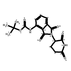 CC(C)(C)OC(=O)Nc1cccc2c1C(=O)N(C1CCC(=O)NC1=O)C2=O